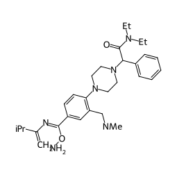 C=C(/N=C(\ON)c1ccc(N2CCN(C(C(=O)N(CC)CC)c3ccccc3)CC2)c(CNC)c1)C(C)C